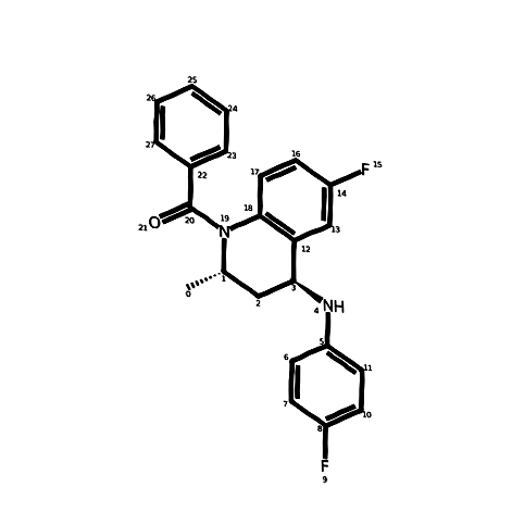 C[C@H]1C[C@H](Nc2ccc(F)cc2)c2cc(F)ccc2N1C(=O)c1ccccc1